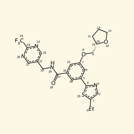 CCc1cnc(-c2cc(OC[C@@H]3CCCO3)cc(C(=O)NCc3cnc(C(F)(F)F)nc3)c2)s1